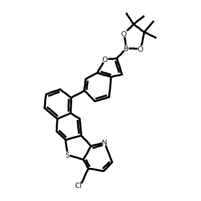 CC1(C)OB(c2cc3ccc(-c4cccc5cc6sc7c(Cl)ccnc7c6cc45)cc3o2)OC1(C)C